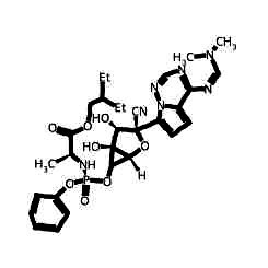 CCC(CC)COC(=O)[C@H](C)N[P@@](=O)(Oc1ccccc1)OC1[C@H]2O[C@@](C#N)(c3ccc4c(/N=C\N(C)C)ncnn34)[C@H](O)[C@@]12O